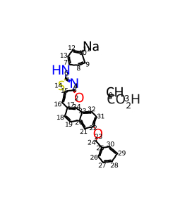 CC(=O)O.O=C1N=C(Nc2cc[c]([Na])cc2)SC1=Cc1ccc2cc(OCc3ccccc3)ccc2c1